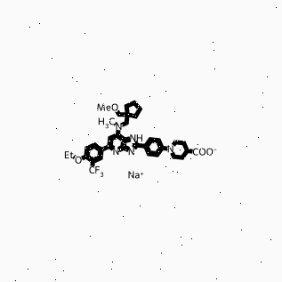 CCOc1ccc(-c2cc(N(C)CC3(COC)CCCC3)c3[nH]c(-c4ccc(N5CCC(C(=O)[O-])CC5)cc4)nc3n2)cc1C(F)(F)F.[Na+]